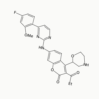 CCC(=O)c1c(C2CNCCO2)c2ccc(Nc3nccc(-c4ccc(F)cc4OC)n3)cc2oc1=O